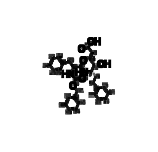 O=C(O)/C=C/[C@H](O)[C@H](CCc1ccccc1)NC(=O)C(Cc1ccccc1)NC(=O)OCc1ccccc1